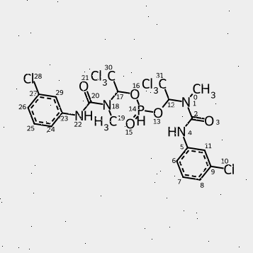 CN(C(=O)Nc1cccc(Cl)c1)C(O[PH](=O)OC(N(C)C(=O)Nc1cccc(Cl)c1)C(Cl)(Cl)Cl)C(Cl)(Cl)Cl